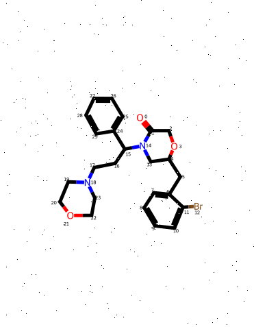 O=C1COC(Cc2ccccc2Br)CN1C(CCN1CCOCC1)c1ccccc1